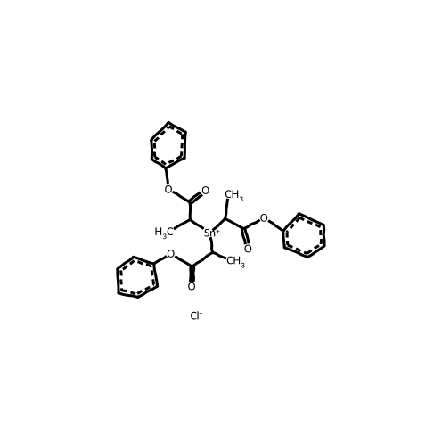 C[CH](C(=O)Oc1ccccc1)[Sn+]([CH](C)C(=O)Oc1ccccc1)[CH](C)C(=O)Oc1ccccc1.[Cl-]